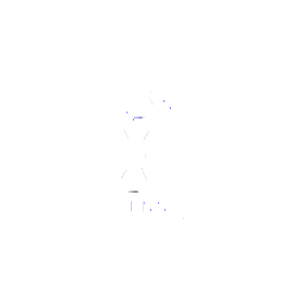 CNC(=O)c1cc(Oc2ccc(C)c(NN)c2)ccn1